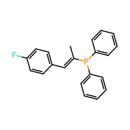 CC(=Cc1ccc(F)cc1)P(c1ccccc1)c1ccccc1